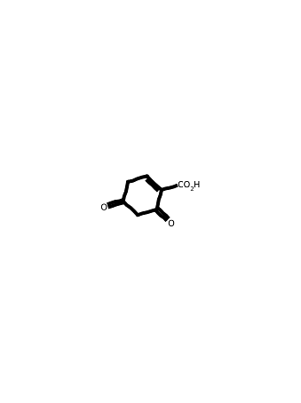 O=C1CC=C(C(=O)O)C(=O)C1